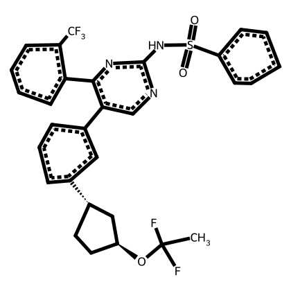 CC(F)(F)O[C@H]1CC[C@H](c2cccc(-c3cnc(NS(=O)(=O)c4ccccc4)nc3-c3ccccc3C(F)(F)F)c2)C1